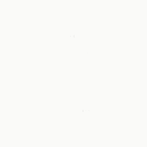 CCCCCCCCCCCCc1cccc(O)c1CC